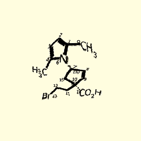 Cc1ccc(C)n1[C@@H]1C=C[C@](CCBr)(C(=O)O)C1